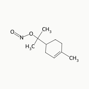 CC1=CCC(C(C)(C)ON=O)CC1